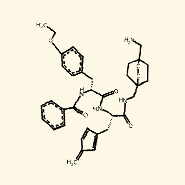 C=C1C=CC(C[C@H](NC(=O)[C@@H](Cc2ccc(OCC)cc2)NC(=O)c2ccccc2)C(=O)NCC23CCC(CN)(CC2)CC3)=C1